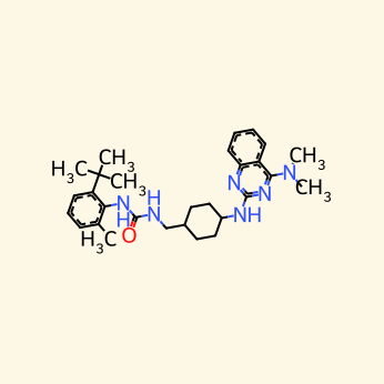 Cc1cccc(C(C)(C)C)c1NC(=O)NCC1CCC(Nc2nc(N(C)C)c3ccccc3n2)CC1